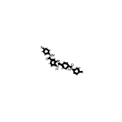 Cc1ccc(NC(=O)c2ccc(-c3nc4cc(C(=O)Nc5ccc(F)cc5)ccc4[nH]3)cc2)cc1